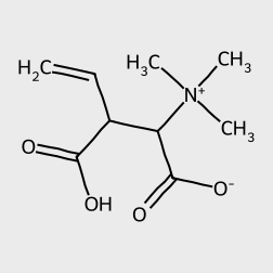 C=CC(C(=O)O)C(C(=O)[O-])[N+](C)(C)C